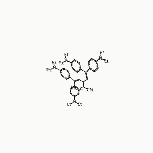 CCOC(=O)C(C#N)C(C=C(c1ccc(N(CC)CC)cc1)c1ccc(N(CC)CC)cc1)C=C(c1ccc(N(CC)CC)cc1)c1ccc(N(CC)CC)cc1